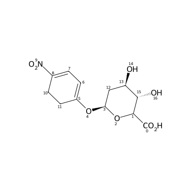 O=C(O)C1O[C@@H](OC2=CC=C([N+](=O)[O-])CC2)C[C@@H](O)[C@@H]1O